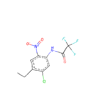 CCc1cc([N+](=O)[O-])c(NC(=O)C(F)(F)F)cc1Cl